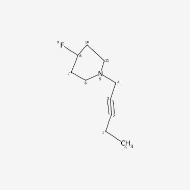 CCC#CCN1CCC(F)CC1